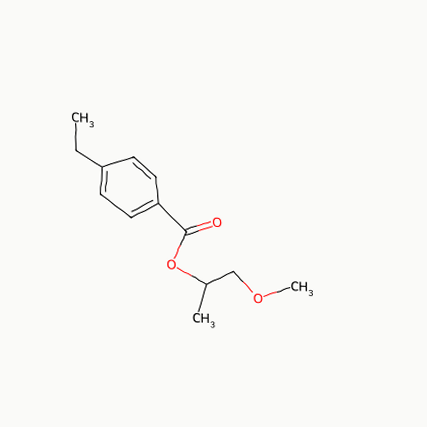 CCc1ccc(C(=O)OC(C)COC)cc1